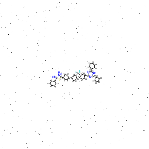 N=C(SC(N)c1ccc(-c2ccc3c(c2)C(F)(F)c2cc(C4=NC(c5ccccc5)NC(c5ccccc5)=N4)ccc2-3)cc1)c1ccccc1